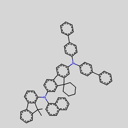 CC1(C)c2ccccc2-c2cccc(N(c3ccc4c(c3)C3(CCCCC3)c3cc(N(c5ccc(-c6ccccc6)cc5)c5ccc(-c6ccccc6)cc5)ccc3-4)c3cccc4ccccc34)c21